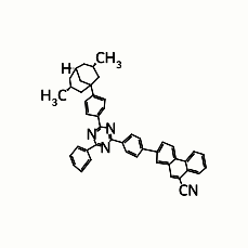 C[C@@H]1C[C@@H]2C[C@H](C)CC(c3ccc(-c4nc(-c5ccccc5)nc(-c5ccc(-c6ccc7c(c6)cc(C#N)c6ccccc67)cc5)n4)cc3)(C1)C2